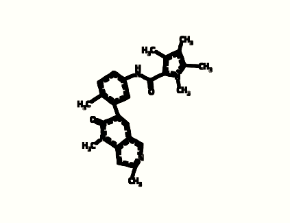 Cc1cc2c(cn1)cc(-c1cc(NC(=O)c3c(C)c(C)c(C)n3C)ccc1C)c(=O)n2C